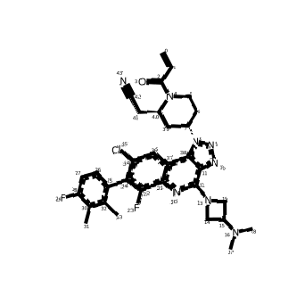 C=CC(=O)N1CC[C@H](n2nnc3c(N4CC(N(C)C)C4)nc4c(F)c(-c5ccc(F)c(C)c5C)c(Cl)cc4c32)C[C@H]1CC#N